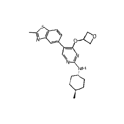 Cc1nc2cc(-c3cnc(N[C@H]4CC[C@H](C)CC4)nc3OC3COC3)ccc2s1